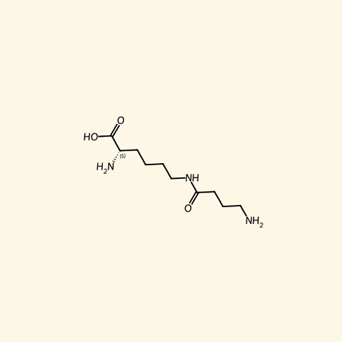 NCCCC(=O)NCCCC[C@H](N)C(=O)O